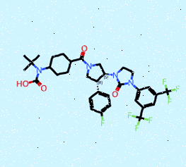 CC(C)(C)N(C(=O)O)C1CCC(C(=O)N2C[C@@H](N3CCN(c4cc(C(F)(F)F)cc(C(F)(F)F)c4)C3=O)[C@H](c3ccc(F)cc3)C2)CC1